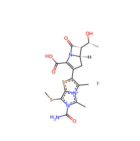 CSc1c2sc(C3=C(C(=O)O)N4C(=O)[C@H]([C@@H](C)O)[C@H]4C3)c(C)[n+]2c(C)n1C(N)=O.[I-]